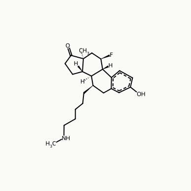 CNCCCCC[C@@H]1Cc2cc(O)ccc2[C@@H]2[C@@H]1[C@@H]1CCC(=O)[C@@]1(C)C[C@H]2F